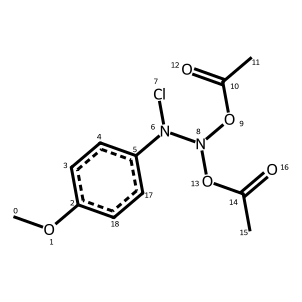 COc1ccc(N(Cl)N(OC(C)=O)OC(C)=O)cc1